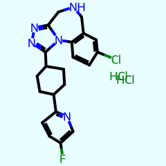 Cl.Cl.Fc1ccc(C2CCC(c3nnc4n3-c3ccc(Cl)cc3CNC4)CC2)nc1